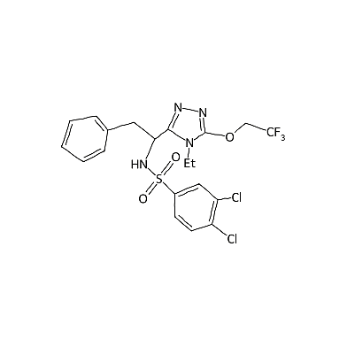 CCn1c(OCC(F)(F)F)nnc1C(Cc1ccccc1)NS(=O)(=O)c1ccc(Cl)c(Cl)c1